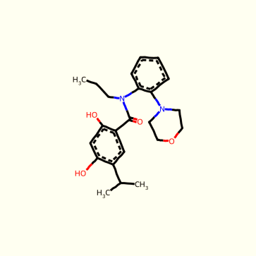 CCCN(C(=O)c1cc(C(C)C)c(O)cc1O)c1ccccc1N1CCOCC1